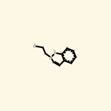 ClCCN1C=Cc2ccccc2O1